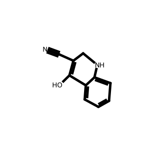 N#CC1=C(O)c2ccccc2NC1